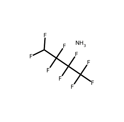 FC(F)C(F)(F)C(F)(F)C(F)(F)F.N